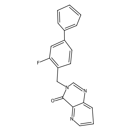 O=c1c2ncccc2ncn1Cc1ccc(-c2ccccc2)cc1F